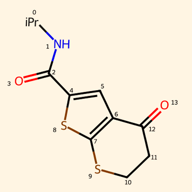 CC(C)NC(=O)c1cc2c(s1)SCCC2=O